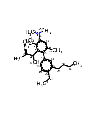 C=C=C(C)C(C)c1c(C)c(N(C)C)cc(C)c1-c1ccc(CC)c(CCCC)c1